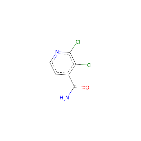 NC(=O)c1ccnc(Cl)c1Cl